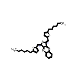 CCCCCCc1ccc(/C=c2\s/c(=C/c3ccc(CCCCCC)s3)c3nc4ccccc4nc23)s1